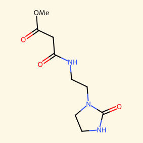 COC(=O)CC(=O)NCCN1CCNC1=O